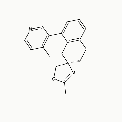 CC1=N[C@@]2(CCc3cccc(-c4cnccc4C)c3C2)CO1